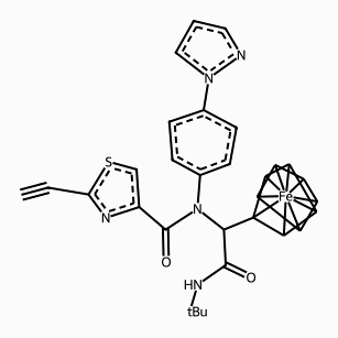 C#Cc1nc(C(=O)N(c2ccc(-n3cccn3)cc2)C(C(=O)NC(C)(C)C)[C]23[CH]4[CH]5[CH]6[CH]2[Fe]56432789[CH]3[CH]2[CH]7[CH]8[CH]39)cs1